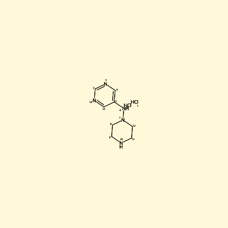 Cl.Cl.c1ncc(NN2CCNCC2)cn1